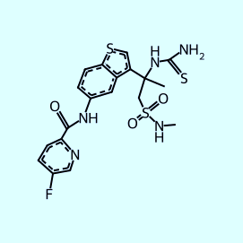 CNS(=O)(=O)CC(C)(NC(N)=S)c1csc2ccc(NC(=O)c3ccc(F)cn3)cc12